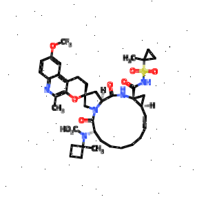 Cc1nc2ccc(OC(F)(F)F)cc2c2c1O[C@]1(CC2)C[C@H]2C(=O)N[C@]3(C(=O)NS(=O)(=O)C4(C)CC4)C[C@H]3/C=C\CCCCC[C@H](N(C(=O)O)C3(C)CCC3)C(=O)N2C1